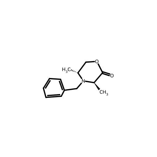 C[C@@H]1COC(=O)[C@@H](C)N1Cc1ccccc1